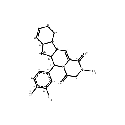 CN1CC(=O)N2C(=CC3C4CCC=CC4NC3C2c2ccc(Cl)c(Cl)c2)C1=O